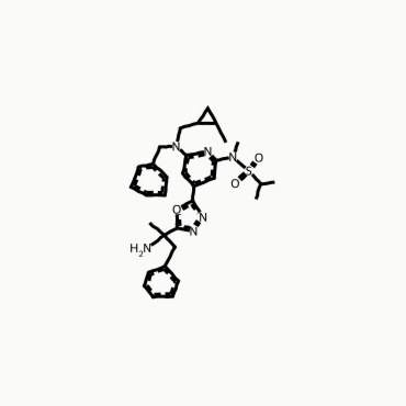 CC1CC1CN(Cc1ccccc1)c1cc(-c2nnc(C(C)(N)Cc3ccccc3)o2)cc(N(C)S(=O)(=O)C(C)C)n1